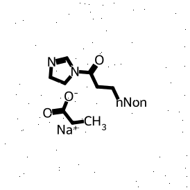 CCC(=O)[O-].CCCCCCCCCCCC(=O)N1C=NCC1.[Na+]